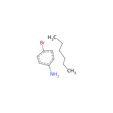 CCCCCC.Nc1ccc(Br)cc1